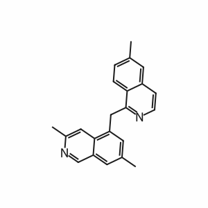 Cc1cc(Cc2nccc3cc(C)ccc23)c2cc(C)ncc2c1